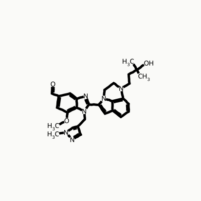 COc1cc(C=O)cc2nc(-c3cc4cccc5c4n3CCN5CCC(C)(C)O)n(Cc3cnn(C)c3)c12